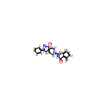 O=C1N=C(c2ccccc2)CC12CCN(c1nc(=O)c3c(F)cccc3s1)CC2